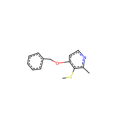 CSc1c(OCc2ccccc2)ccnc1C